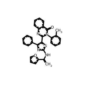 C=C(Nc1nc(-c2ccccc2)c(-c2nc3ccccc3c(=O)n2-c2ccccc2C)s1)c1ccco1